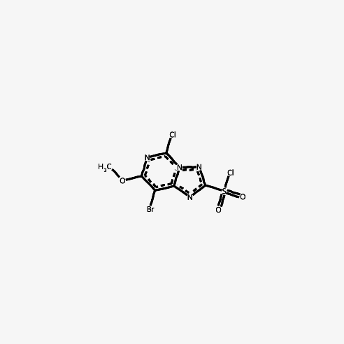 COc1nc(Cl)n2nc(S(=O)(=O)Cl)nc2c1Br